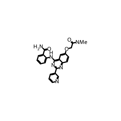 CNC(=O)COc1ccc2nc(-c3cccnc3)nc(Nc3ccccc3C(N)=O)c2c1